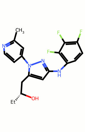 CC[C@@H](O)Cc1cc(Nc2ccc(F)c(F)c2F)nn1-c1ccnc(C)c1